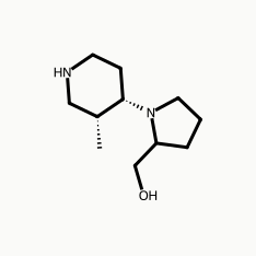 C[C@@H]1CNCC[C@@H]1N1CCCC1CO